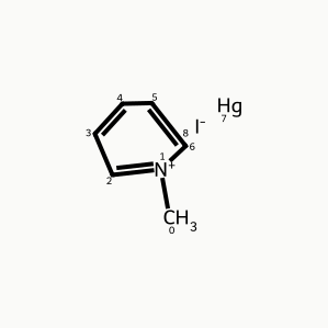 C[n+]1ccccc1.[Hg].[I-]